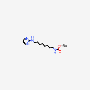 CC(C)(C)OC(=O)NCCCCCCCCNc1ncccn1